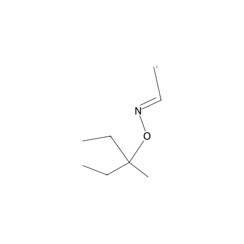 [CH2]C=NOC(C)(CC)CC